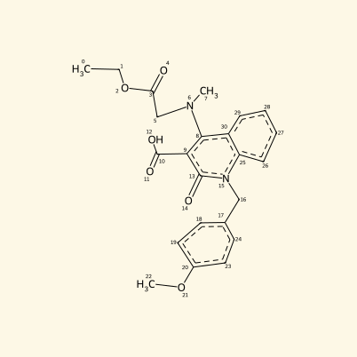 CCOC(=O)CN(C)c1c(C(=O)O)c(=O)n(Cc2ccc(OC)cc2)c2ccccc12